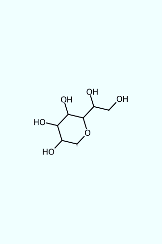 OCC(O)C1O[CH]C(O)C(O)C1O